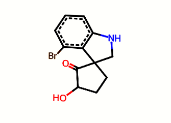 O=C1C(O)CCC12CNc1cccc(Br)c12